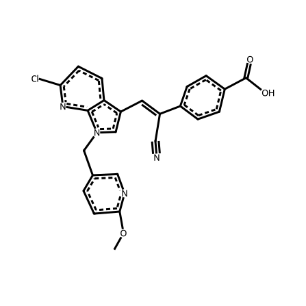 COc1ccc(Cn2cc(C=C(C#N)c3ccc(C(=O)O)cc3)c3ccc(Cl)nc32)cn1